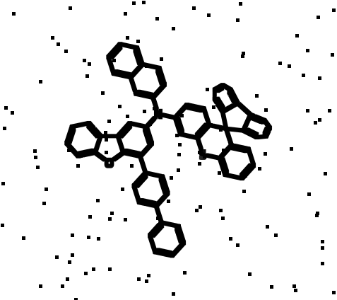 c1ccc(-c2ccc(-c3cc(N(c4ccc5c(c4)Sc4ccccc4C54c5ccccc5-c5ccccc54)c4ccc5ccccc5c4)cc4c3oc3ccccc34)cc2)cc1